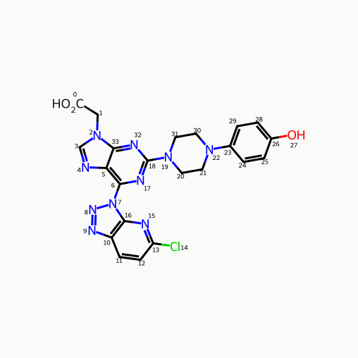 O=C(O)Cn1cnc2c(-n3nnc4ccc(Cl)nc43)nc(N3CCN(c4ccc(O)cc4)CC3)nc21